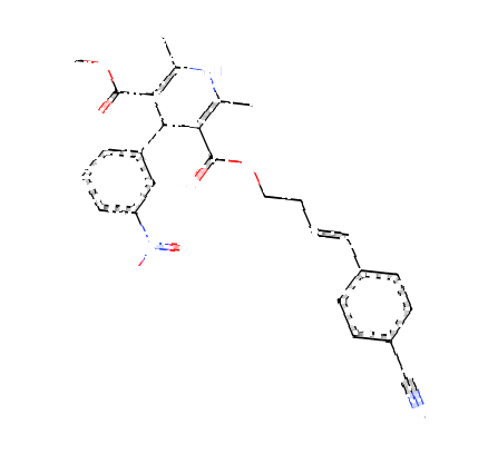 COC(=O)C1=C(C)NC(C)=C(C(=O)OCCC=Cc2ccc(C#N)cc2)C1c1cccc([N+](=O)[O-])c1